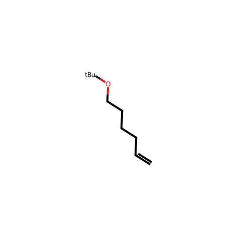 C=CCCCCOC(C)(C)C